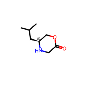 CC(C)C[C@H]1COC(=O)CN1